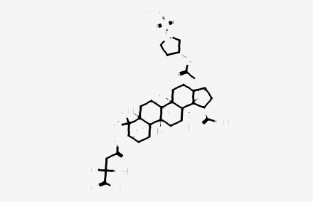 C=C(C)[C@@H]1CC[C@]2(CC(=O)N[C@H]3CCN(S(C)(=O)=O)C3)CC[C@]3(C)[C@H](CC[C@@H]4[C@@]5(C)CC[C@H](OC(=O)CC(C)(C)C(=O)O)C(C)(C)[C@@H]5CC[C@]43C)[C@@H]12